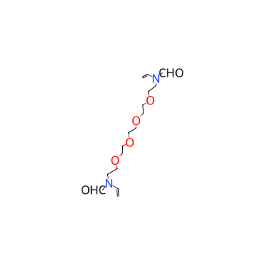 C=CN(C=O)CCOCCOCCOCCOCCN(C=C)C=O